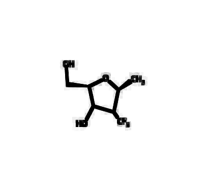 C[C@@H]1O[C@H](CO)C(O)C1C(F)(F)F